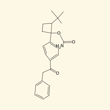 CC(C)(C)C1CCC1(OC(N)=O)c1ccc(C(=O)Cc2ccccc2)cc1